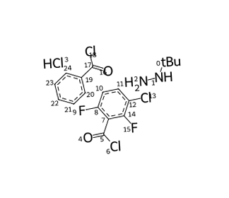 CC(C)(C)NN.Cl.O=C(Cl)c1c(F)ccc(Cl)c1F.O=C(Cl)c1ccccc1